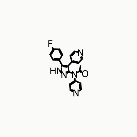 CC(=O)N(c1ccncc1)c1n[nH]c(-c2ccc(F)cc2)c1-c1ccncc1